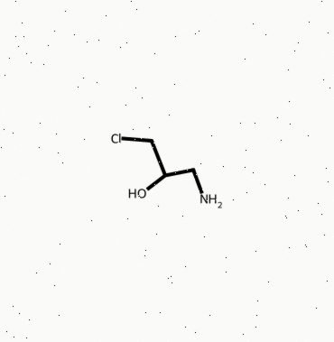 NCC(O)CCl